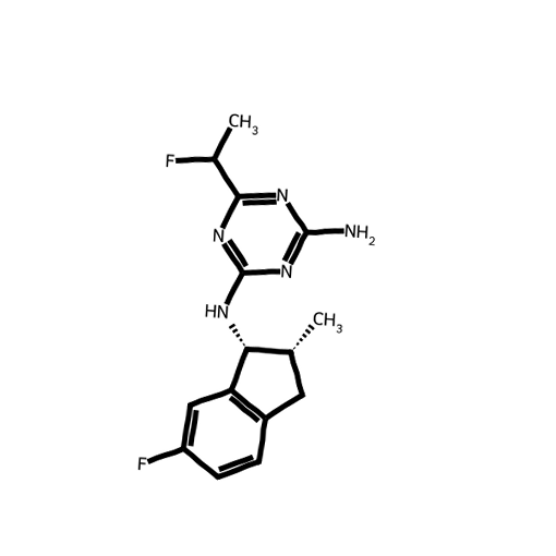 CC(F)c1nc(N)nc(N[C@H]2c3cc(F)ccc3C[C@H]2C)n1